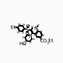 C=Nc1ccc(C(=O)OCC)cc1/C(=C(\C)S(=O)(=O)c1ccc(CC)cc1)N1CCC(O)CC1